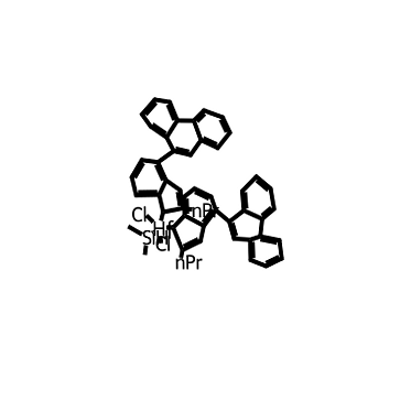 CCCC1=Cc2c(-c3cc4ccccc4c4ccccc34)cccc2[CH]1[Hf]([Cl])([Cl])([CH]1C(CCC)=Cc2c(-c3cc4ccccc4c4ccccc34)cccc21)[SiH](C)C